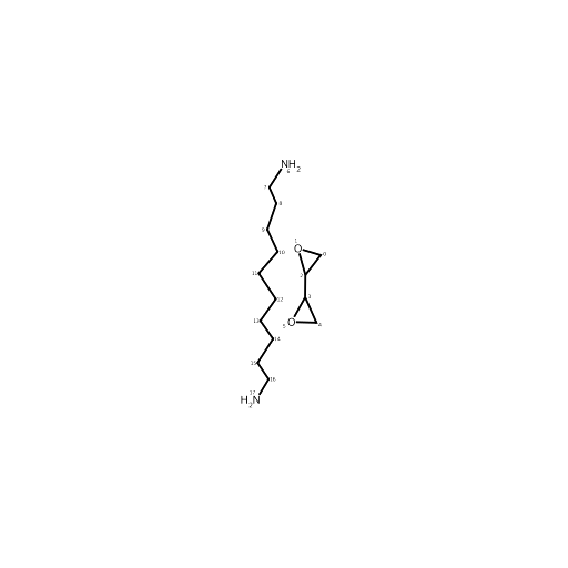 C1OC1C1CO1.NCCCCCCCCCCN